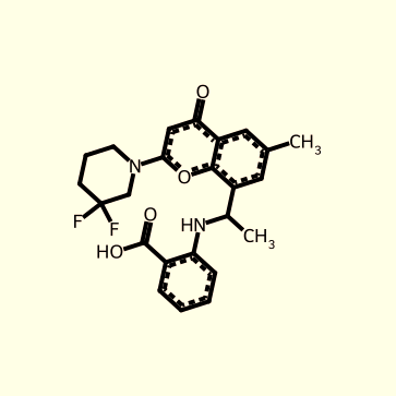 Cc1cc(C(C)Nc2ccccc2C(=O)O)c2oc(N3CCCC(F)(F)C3)cc(=O)c2c1